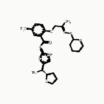 CC(COc1ccc(C(F)(F)F)cc1C(=O)N=c1[nH]cc(C([C@H]2CCCO2)C(C)(C)C)s1)=NOC1CCCCO1